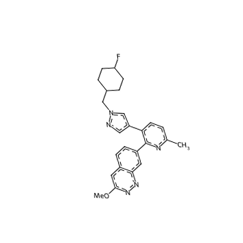 COc1cc2ccc(-c3nc(C)ccc3-c3cnn(CC4CCC(F)CC4)c3)cc2nn1